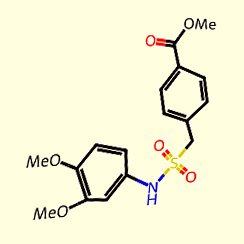 COC(=O)c1ccc(CS(=O)(=O)Nc2ccc(OC)c(OC)c2)cc1